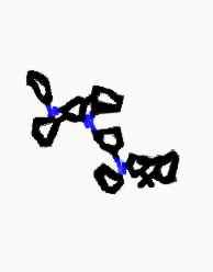 CC1(C)c2ccccc2-c2ccc(N(c3ccccc3)c3ccc(-n4c5ccccc5c5cc6c(cc54)c4ccccc4n6-c4ccccc4)cc3)cc21